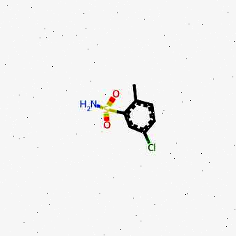 Cc1ccc(Cl)cc1S(N)(=O)=O